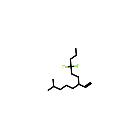 C=CC(CCCC(C)C)CCC(F)(F)CCC